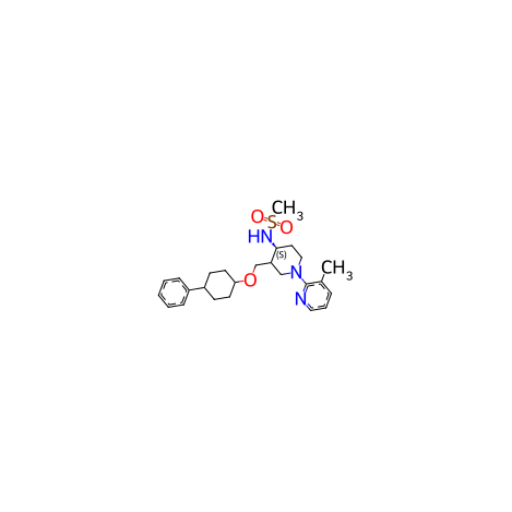 Cc1cccnc1N1CC[C@H](NS(C)(=O)=O)C(COC2CCC(c3ccccc3)CC2)C1